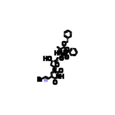 C[C@H](NP(=O)(OC[C@H]1O[C@@H](n2cc(/C=C/Br)c(=O)[nH]c2=O)CC1O)Oc1ccccc1)C(=O)OCc1ccccc1